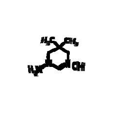 CC1(C)CN=CN(N)C1.Cl